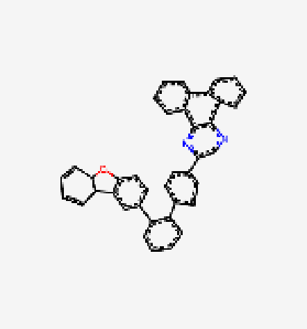 C1=CC2Oc3ccc(-c4ccccc4-c4ccc(-c5cnc6c7ccccc7c7ccccc7c6n5)cc4)cc3C2C=C1